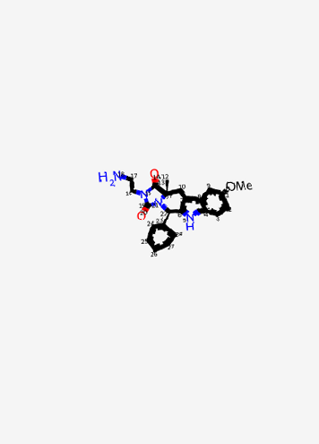 COc1ccc2[nH]c3c(c2c1)C[C@@]1(C)C(=O)N(CCN)C(=O)N1[C@@H]3c1ccccc1